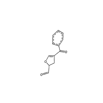 O=CC1CC(C(=O)c2ccccc2)=CO1